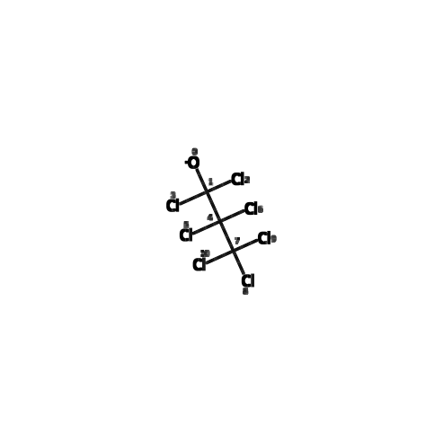 [O]C(Cl)(Cl)C(Cl)(Cl)C(Cl)(Cl)Cl